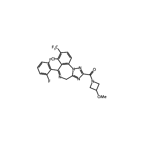 COC1CN(C(=O)c2nc3n(n2)-c2ccc(C(F)(F)F)c(Cl)c2C(c2c(F)cccc2F)=NC3)C1